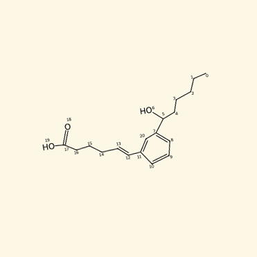 CCCCCC(O)c1cccc(C=CCCCC(=O)O)c1